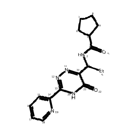 CCC(NC(=O)C1CCCC1)c1nnc(-c2ccccn2)[nH]c1=O